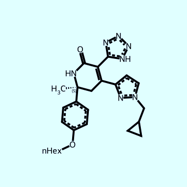 CCCCCCOc1ccc([C@]2(C)CC(c3ccn(CC4CC4)n3)=C(c3nnn[nH]3)C(=O)N2)cc1